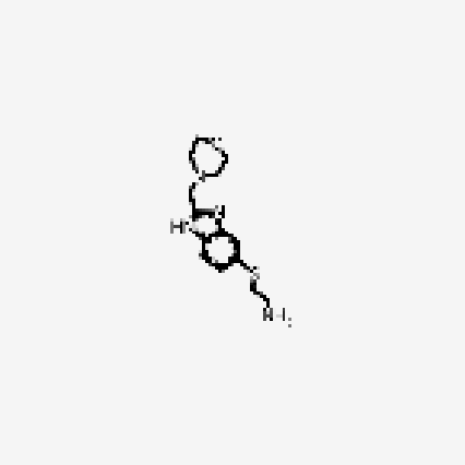 NCCSc1ccc2[nH]c(CN3CCOCC3)nc2c1